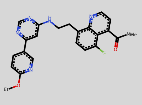 CCOc1ccc(-c2cc(NCCc3ccc(F)c4c(C(=O)NC)ccnc34)ncn2)cn1